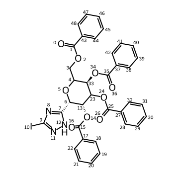 O=C(OCC1O[C@@H](c2nc(I)n[nH]2)[C@@H](OC(=O)c2ccccc2)C(OC(=O)c2ccccc2)[C@@H]1OC(=O)c1ccccc1)c1ccccc1